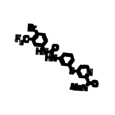 CNC(=O)c1cc(Sc2cccc(NC(=O)Nc3ccc(Br)c(C(F)(F)F)c3)c2)ccn1